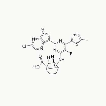 Cc1ccc(-c2nc(-c3c[nH]c4nc(Cl)cnc34)nc(N[C@@H]3C4CCC(CC4)[C@H]3C(=O)O)c2F)s1